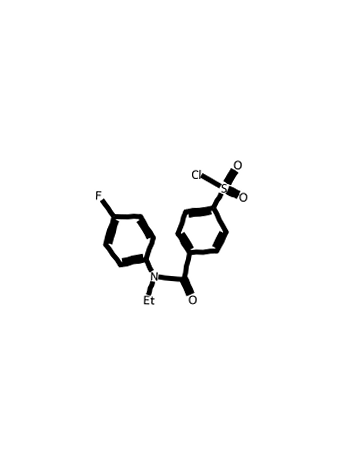 CCN(C(=O)c1ccc(S(=O)(=O)Cl)cc1)c1ccc(F)cc1